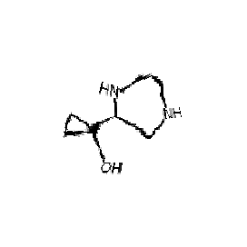 OC1([C@@H]2CNCCN2)CC1